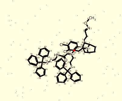 CON=CCC[C@H]1C2CCC(C[C@H]1c1ccc(Cl)c(Cl)c1)N2CCCN(CCSC(c1ccccc1)(c1ccccc1)c1ccccc1)CC(=O)NCCSC(c1ccccc1)(c1ccccc1)c1ccccc1